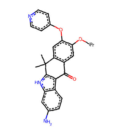 CC(C)Oc1cc2c(cc1Oc1ccncc1)C(C)(C)c1[nH]c3cc(N)ccc3c1C2=O